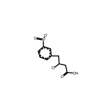 O=C(O)CC(Cl)Cc1cccc([N+](=O)[O-])c1